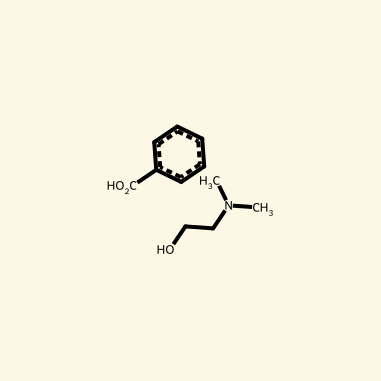 CN(C)CCO.O=C(O)c1ccccc1